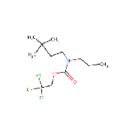 CCCN(CCC(C)(C)C)C(=O)OCC(Cl)(Cl)Cl